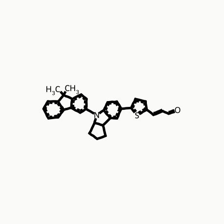 CC1(C)c2ccccc2-c2cc(N3c4ccc(-c5ccc(/C=C/C=O)s5)cc4C4CCCC43)ccc21